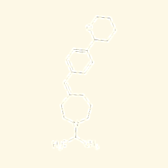 CC(C)N1CCCC(=Cc2ccc(C3CCCCO3)cc2)CC1